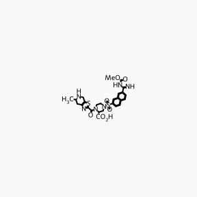 COC(=O)NC(=N)c1ccc2ccc(S(=O)(=O)N3CCN(C(=O)c4nc5c(s4)CNC(C)C5)C(C(=O)O)C3)cc2c1